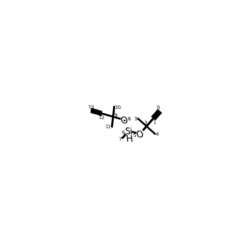 C#CC(C)(C)O[SiH](C)OC(C)(C)C#C